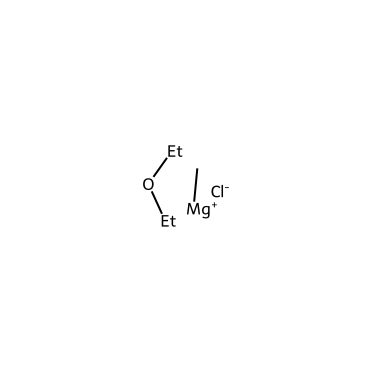 CCOCC.[CH3][Mg+].[Cl-]